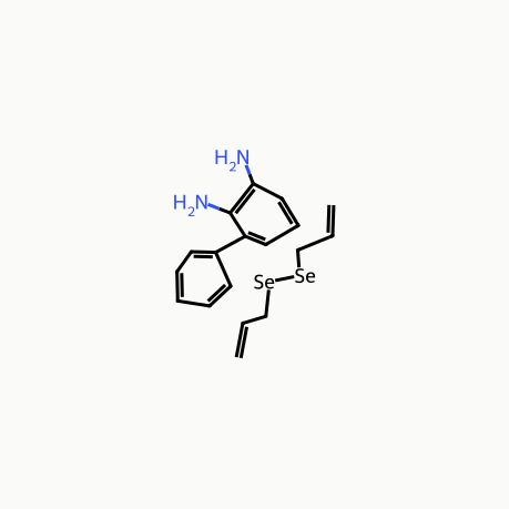 C=CC[Se][Se]CC=C.Nc1cccc(-c2ccccc2)c1N